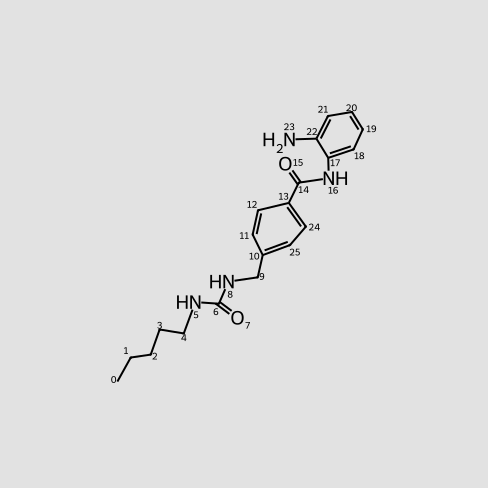 CCCCCNC(=O)NCc1ccc(C(=O)Nc2ccccc2N)cc1